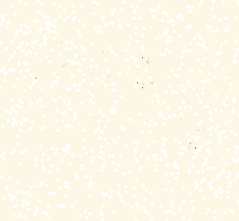 O=C(c1ccc(-c2nc(-c3ccc(-c4cccc(C(F)(F)F)c4)cc3)no2)cc1)N1CCOCC1